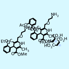 CC(=O)Oc1ccccc1C(=O)O.CCOC(=O)C1=C(COCCN)NC(C)=C(C(=O)OC)C1c1ccccc1Cl.CCOC(=O)C1=C(COCCN)NC(C)=C(C(=O)OC)C1c1ccccc1Cl.O=C(O)/C=C\C(=O)O.O=C(O)/C=C\C(=O)O